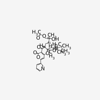 CC(=O)OC[C@@](C)(O)[C@@H]1CC(O[Si](C)(C)C(C)(C)C)[C@@]2(C)Oc3cc(-c4cccnc4)oc(=O)c3C(=O)[C@@H]2C1